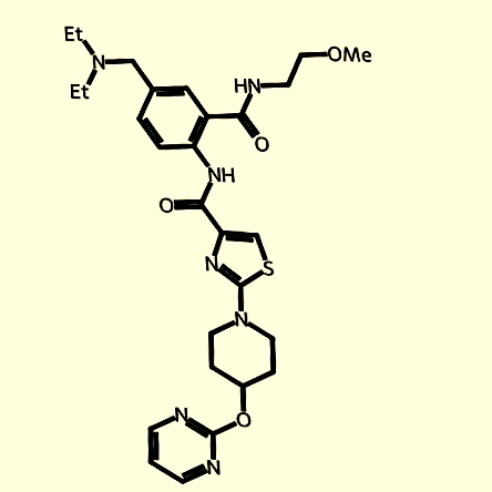 CCN(CC)Cc1ccc(NC(=O)c2csc(N3CCC(Oc4ncccn4)CC3)n2)c(C(=O)NCCOC)c1